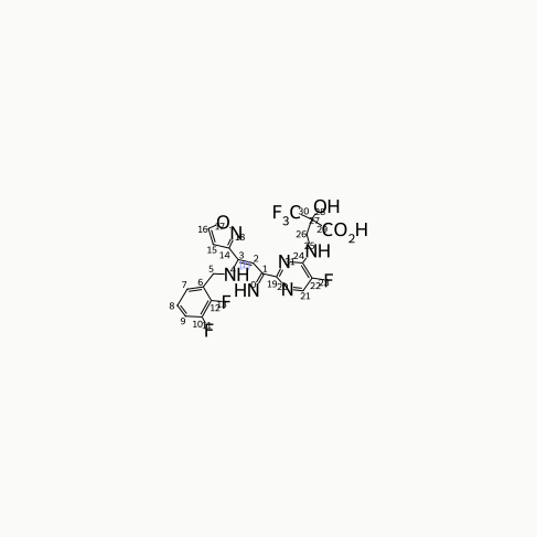 N=C(/C=C(\NCc1cccc(F)c1F)c1ccon1)c1ncc(F)c(NCC(O)(C(=O)O)C(F)(F)F)n1